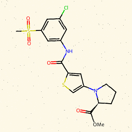 COC(=O)[C@@H]1CCCN1c1csc(C(=O)Nc2cc(Cl)cc(S(C)(=O)=O)c2)c1